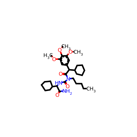 CCCCCN(C(=O)NC(C(N)=O)C1CCCCC1)C(=O)C(c1cc(OC)c(OC)c(OC)c1)C1CCCCC1